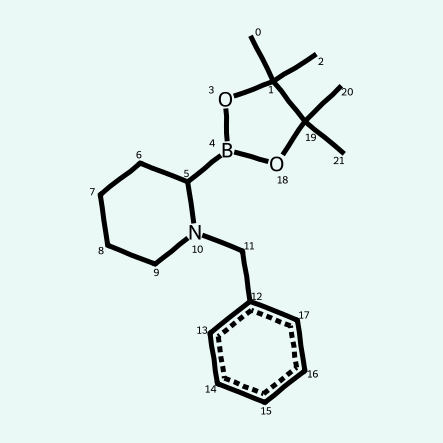 CC1(C)OB(C2CCCCN2Cc2ccccc2)OC1(C)C